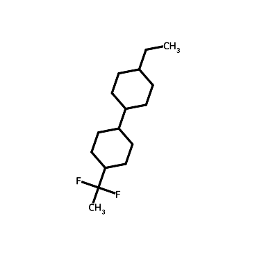 CCC1CCC(C2CCC(C(C)(F)F)CC2)CC1